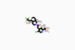 C[C@H]1[C@H]2CCC[C@@H]([C@H](O)C(F)(F)F)[C@@H]2CCN1C(=O)Cc1c(Cl)cnc(C(C)(C)O)c1Cl